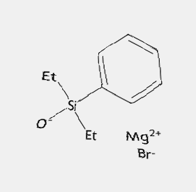 CC[Si]([O-])(CC)c1ccccc1.[Br-].[Mg+2]